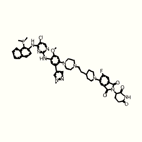 COc1cc(N2CCN(CCC3CCN(c4cc5c(cc4F)C(=O)N(C4CCC(=O)NC4=O)C5=O)CC3)CC2)c(-c2cnn(C)c2)cc1Nc1ncc(Cl)c(Nc2ccc3ccccc3c2P(C)C)n1